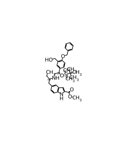 CC[C@H](Cc1ccc2[nH]c(C(=O)OC)cc2c1)NC[C@H](O[Si](C)(C)C(C)(C)C)c1ccc(OCc2ccccc2)c(CO)c1